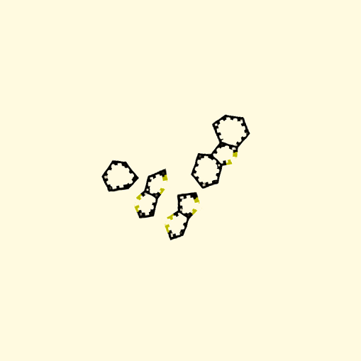 c1cc2sccc2s1.c1cc2sccc2s1.c1ccc2c(c1)sc1ccccc12.c1ccccc1